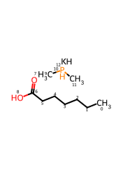 CCCCCCC(=O)O.CPC.[KH]